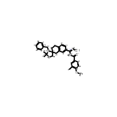 Cc1cc(C(=O)N/C(=N\O)c2ccc3c(c2)CC2(CC3)COC(C)(C)N2Cc2ccccc2)ccc1OC(C)C